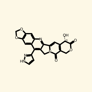 O=C1OCc2c(cc3n(c2=O)Cc2c-3nc3cc4c(cc3c2-c2cc[nH]n2)OCO4)[C@@H]1O